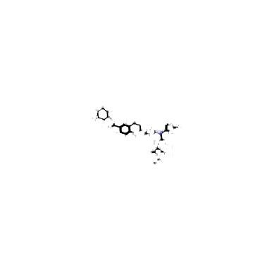 CC(O/N=C(\C(=O)N[C@@H]1C(=O)N(OS(=O)(=O)O)C1(C)C)c1csc(N)n1)(C(=O)O)[C@H]1CCc2cc(C(=N)N[C@@H]3CCC[C@H](N)C3)ccc2O1